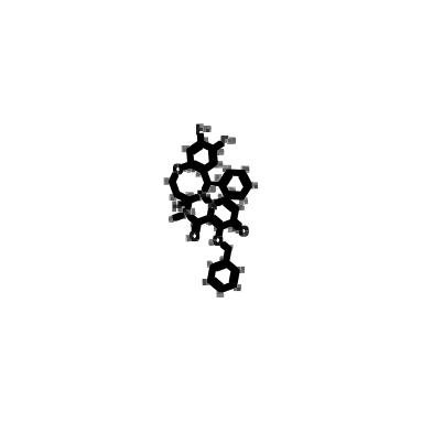 CN1C(=O)c2c(OCc3ccccc3)c(=O)ccn2N2[C@H](c3ccccc3)c3cc(F)c(F)cc3OCC[C@@H]12